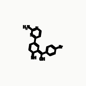 N=C1C=CC(c2ccnc(N)n2)=C/C1=C(/O)c1ccc(Br)cc1